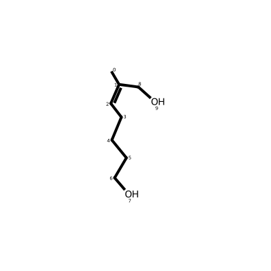 CC(=CCCCCO)CO